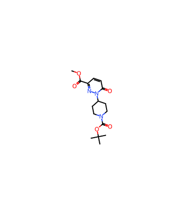 COC(=O)c1ccc(=O)n(C2CCN(C(=O)OC(C)(C)C)CC2)n1